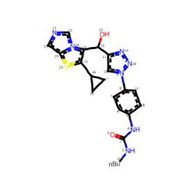 CCCCNC(=O)Nc1ccc(-n2cc(C(O)c3c(C4CC4)sc4cncn34)nn2)cc1